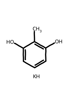 Cc1c(O)cccc1O.[KH]